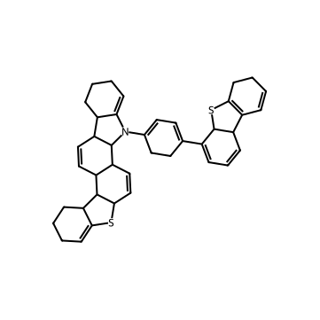 C1=CC2C3=C(CCC=C3)SC2C(C2=CC=C(N3C4=CCCCC4C4C=CC5C(C=CC6SC7=CCCCC7C65)C43)CC2)=C1